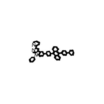 C1=CCC(n2c3ccc(C4=CC=C(c5c6ccccc6c(-c6ccc(-c7ccccc7)cc6)c6ccccc56)CC4)cc3c3cc(-c4ccccn4)ncc32)C=C1